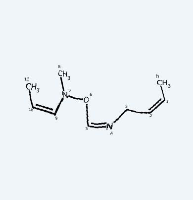 C/C=C\C/N=C\ON(C)/C=C\C